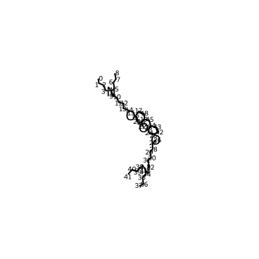 CCCCN(CCCC)CCCCCCOc1ccc2c(c1)Oc1cc(OCCCCCCN(CCCC)CCCC)ccc1C2